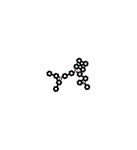 c1ccc(-c2ccc3c(c2)c2cc(-c4ccccc4)ccc2n3-c2ccc(-c3ccc(N(c4ccc(-c5cccc6c5c5ccccc5n6-c5ccccc5)cc4)c4cccc5c4-c4ccccc4C54c5ccccc5-c5ccccc54)cc3)cc2)cc1